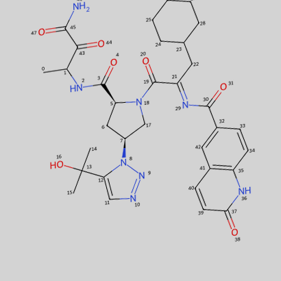 CC(NC(=O)[C@@H]1C[C@H](n2nncc2C(C)(C)O)CN1C(=O)/C(CC1CCCCC1)=N/C(=O)c1ccc2[nH]c(=O)ccc2c1)C(=O)C(N)=O